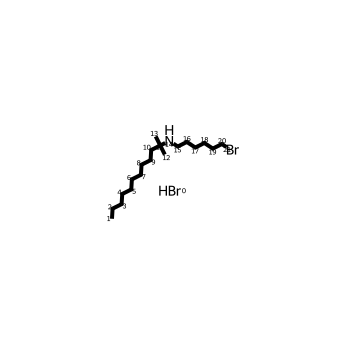 Br.CCCCCCCCCCC(C)(C)NCCCCCCBr